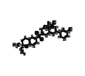 CC1(C)CCc2cc(S(=O)(=O)N(CC(=O)O)CC3=CC(c4cccc(Cl)c4)=CC(F)(Cl)C3)ccc2O1